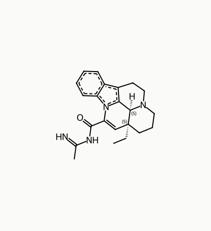 CC[C@@]12C=C(C(=O)NC(C)=N)n3c4c(c5ccccc53)CCN(CCC1)[C@H]42